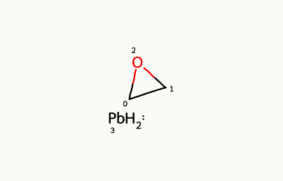 C1CO1.[PbH2]